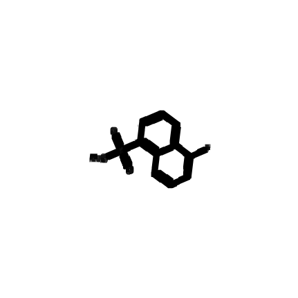 [CH2]OS(=O)(=O)c1cccc2c(F)cccc12